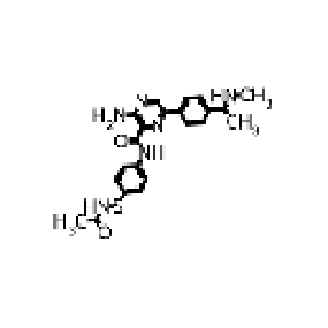 CNC(C)c1ccc(-c2cnc(N)c(C(=O)Nc3ccc(SNC(C)=O)cc3)n2)cc1